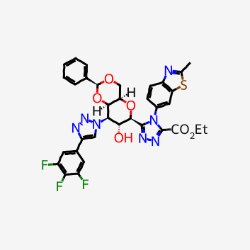 CCOC(=O)c1nnc([C@@H]2O[C@@H]3CO[C@H](c4ccccc4)O[C@@H]3[C@H](n3cc(-c4cc(F)c(F)c(F)c4)nn3)[C@H]2O)n1-c1ccc2nc(C)sc2c1